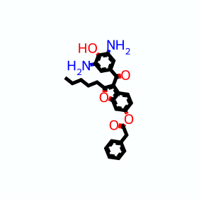 CCCCCc1oc2cc(OC(=O)Cc3ccccc3)ccc2c1C(=O)c1cc(N)c(O)c(N)c1